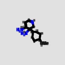 COC1CCC(C2(N)CN=CC=C2N)CC1